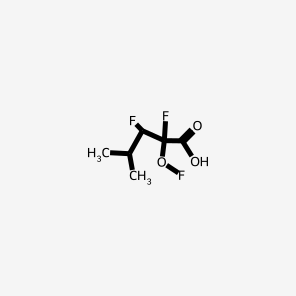 CC(C)C(F)C(F)(OF)C(=O)O